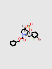 O=C(OCc1ccccc1)N1CC[C@@H]2O[S@@](=O)O[C@@H]2[C@H]1Cc1cccc(Br)c1F